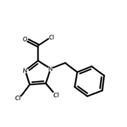 O=C(Cl)c1nc(Cl)c(Cl)n1Cc1ccccc1